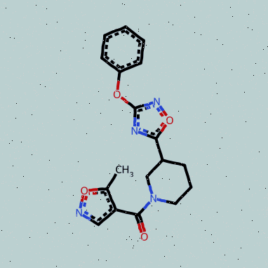 Cc1oncc1C(=O)N1CCCC(c2nc(Oc3ccccc3)no2)C1